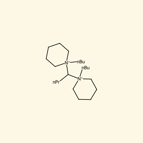 CCCC[N+]1(C(CCC)[N+]2(CCCC)CCCCC2)CCCCC1